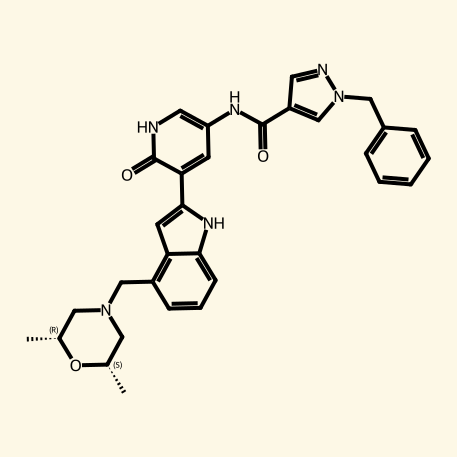 C[C@@H]1CN(Cc2cccc3[nH]c(-c4cc(NC(=O)c5cnn(Cc6ccccc6)c5)c[nH]c4=O)cc23)C[C@H](C)O1